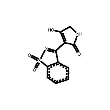 O=C1NCC(O)=C1C1=NS(=O)(=O)c2ccccc21